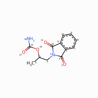 CC(CN1C(=O)c2ccccc2C1=O)OC(N)=O